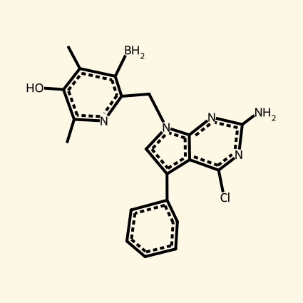 Bc1c(Cn2cc(-c3ccccc3)c3c(Cl)nc(N)nc32)nc(C)c(O)c1C